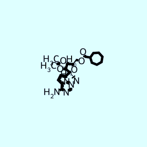 CC1(C)O[C@H]2[C@@H](O1)[C@](C#N)(c1ccc3c(N)ncnn13)O[C@@H]2COC(=O)C1CCCCCC1